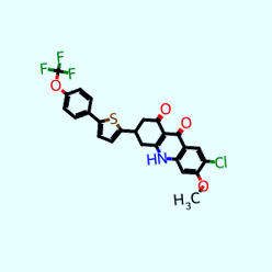 COc1cc2[nH]c3c(c(=O)c2cc1Cl)C(=O)CC(c1ccc(-c2ccc(OC(F)(F)F)cc2)s1)C3